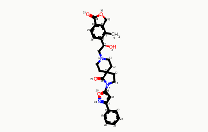 Cc1c([C@@H](O)CN2CCC3(CC2)CCN(c2cc(-c4ccccc4)no2)C3=O)ccc2c1COC2=O